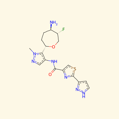 Cn1ncc(NC(=O)c2csc(-c3cc[nH]n3)n2)c1[C@@H]1CC[C@@H](N)[C@H](F)CO1